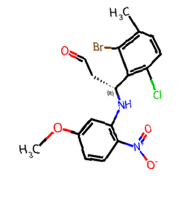 COc1ccc([N+](=O)[O-])c(N[C@H](CC=O)c2c(Cl)ccc(C)c2Br)c1